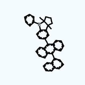 CC12CCCC1(C)c1cc(-c3c4ccccc4c(-c4cccc5ccccc45)c4ccccc34)ccc1B2c1ccccc1